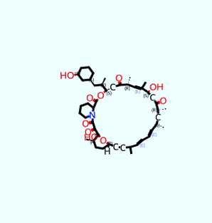 C/C1=C\[C@@H](C)C(=O)C[C@@H]([C@H](C)C[C@@H]2CCC[C@H](O)C2)OC(=O)C2CCCCN2C(=O)C(=O)[C@]2(O)O[C@H](CCC(C)/C=C/C=C/[C@@H](C)C[C@@H](C)C(=O)C[C@@H]1O)CC[C@H]2C